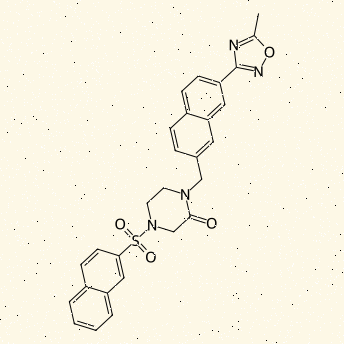 Cc1nc(-c2ccc3ccc(CN4CCN(S(=O)(=O)c5ccc6ccccc6c5)CC4=O)cc3c2)no1